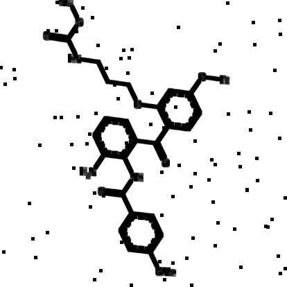 CCOc1ccc(C(=O)c2cccc(N)c2NC(=O)c2ccc(OC)cc2)c(OCCCNC(=O)OC(C)(C)C)c1